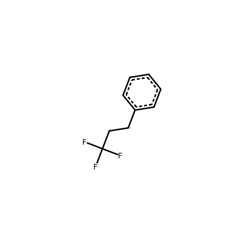 FC(F)(F)C[CH]c1ccccc1